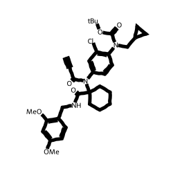 C#CC(=O)N(c1ccc(N(CC2CC2)C(=O)OC(C)(C)C)c(Cl)c1)C1(C(=O)NCc2ccc(OC)cc2OC)CCCCC1